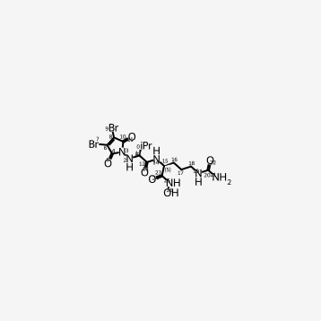 CC(C)[C@H](NN1C(=O)C(Br)=C(Br)C1=O)C(=O)N[C@@H](CCCNC(N)=O)C(=O)NO